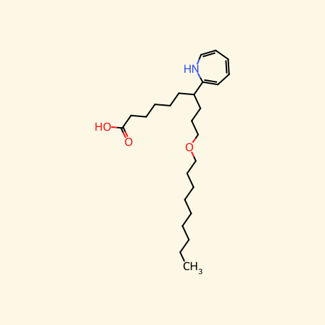 CCCCCCCCCOCCCC(CCCCCC(=O)O)C1=CC=CC=CN1